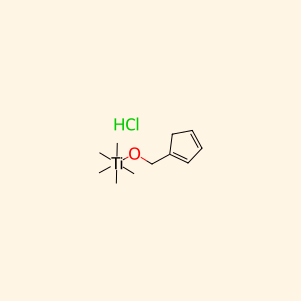 Cl.[CH3][Ti]([CH3])([CH3])([CH3])([CH3])[O]CC1=CC=CC1